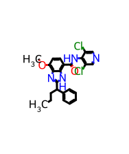 CCCC(c1ccccc1)c1nc2c(OC)ccc(C(=O)Nc3c(Cl)cncc3Cl)c2[nH]1